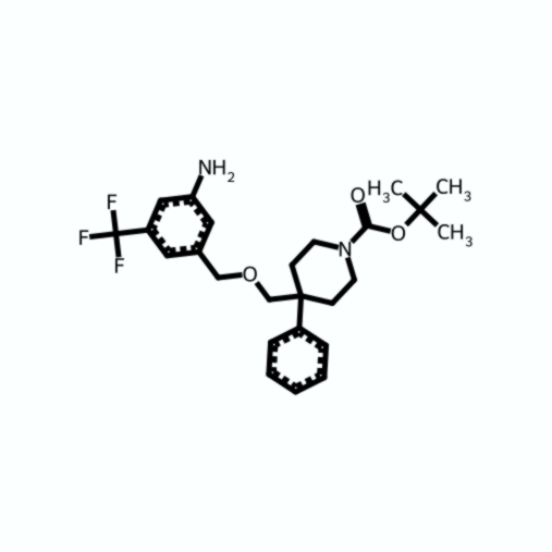 CC(C)(C)OC(=O)N1CCC(COCc2cc(N)cc(C(F)(F)F)c2)(c2ccccc2)CC1